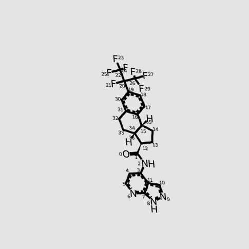 O=C(Nc1ccnc2[nH]ncc12)[C@@H]1CC[C@H]2c3ccc(C(F)(C(F)(F)F)C(F)(F)F)cc3CC[C@@H]12